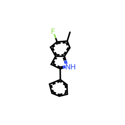 Cc1cc2[nH]c(-c3ccccc3)cc2cc1F